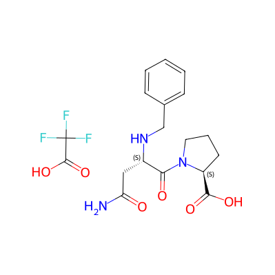 NC(=O)C[C@H](NCc1ccccc1)C(=O)N1CCC[C@H]1C(=O)O.O=C(O)C(F)(F)F